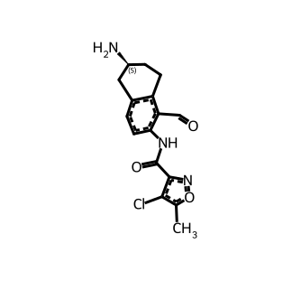 Cc1onc(C(=O)Nc2ccc3c(c2C=O)CC[C@H](N)C3)c1Cl